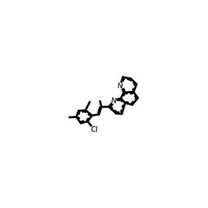 C/C(=C\c1c(C)cc(C)cc1Cl)c1ccc2ccc3cccnc3c2n1